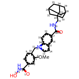 COc1cc(C(=O)NO)ccc1Cn1ccc2cc(C(=O)NCC34CC5CC(CC(C5)C3)C4)ccc21